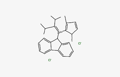 CC1=[C]([Zr+2](=[C](C(C)C)C(C)C)[CH]2c3ccccc3-c3ccccc32)C(C)C=C1.[Cl-].[Cl-]